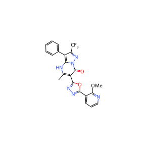 COc1ncccc1-c1nnc(-c2c(C)[nH]c3c(-c4ccccc4)c(C(F)(F)F)nn3c2=O)o1